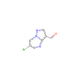 O=Cc1cnn2cc(Br)cnc12